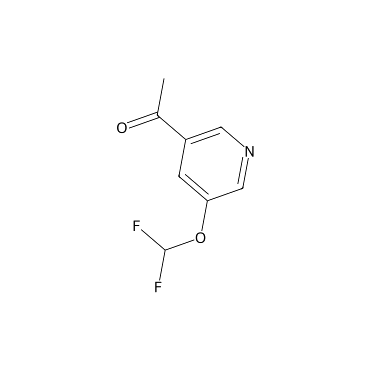 CC(=O)c1cncc(OC(F)F)c1